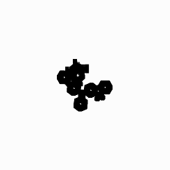 C[C@H]1C[C@@H]2C[C@H](C1)[C@@]1(c3ccccc3-c3ccc(N(c4ccccc4)c4ccc5c(c4)C(C)(C)c4ccccc4-5)cc31)[C@H](C)C2